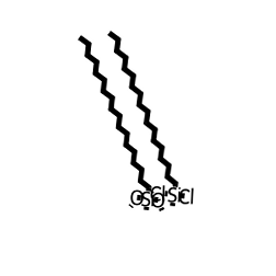 CCCCCCCCCCCCCCCCCC[Si](C)(Cl)Cl.CCCCCCCCCCCCCCCCCC[Si](C)(OC)OC